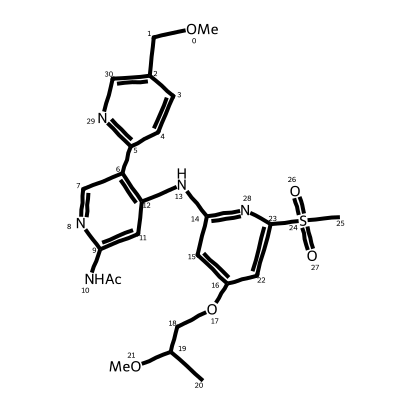 COCc1ccc(-c2cnc(NC(C)=O)cc2Nc2cc(OCC(C)OC)cc(S(C)(=O)=O)n2)nc1